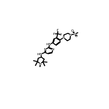 CN1C(C)(C)CC(Nc2ccnc(Nc3ccc(N4CCN(S(C)(=O)=O)CC4)c(C(F)(F)F)c3)n2)CC1(C)C